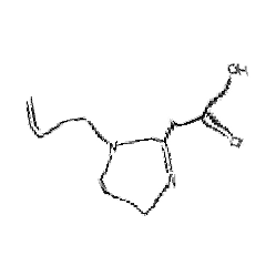 C=CCN1CCN=C1CC(=O)O